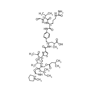 CC[C@H](C)[C@H](NC(=O)[C@H]1CCCCN1C)C(=O)N(COC(=O)CC(C)C)[C@H](C[C@@H](OC(C)=O)c1nc(C(=O)N[C@@H](Cc2ccc(NC(=O)[C@H](CCCNC(N)=O)NC(=O)[C@@H](NC=O)C(C)C)cc2)CC(C)C(=O)O)cs1)C(C)C